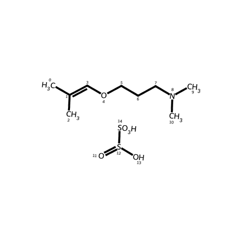 CC(C)=COCCCN(C)C.O=S(O)S(=O)(=O)O